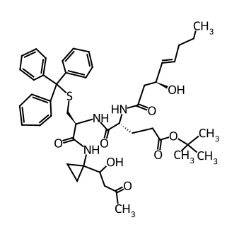 CCC/C=C/[C@@H](O)CC(=O)N[C@H](CCC(=O)OC(C)(C)C)C(=O)N[C@H](CSC(c1ccccc1)(c1ccccc1)c1ccccc1)C(=O)NC1(C(O)CC(C)=O)CC1